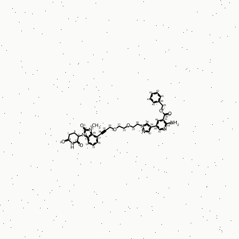 Cn1c(=O)n(C2CCC(=O)NC2=O)c2cccc(C#CCOCCOCCn3cc(-c4cnc(N)c(C(=O)OCc5ccccc5)c4)cn3)c21